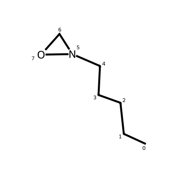 CCCCCN1CO1